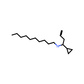 C=CCC([N]CCCCCCCCCC)C1CC1